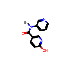 CCN(C(=O)c1ccc(O)nc1)c1cccnc1